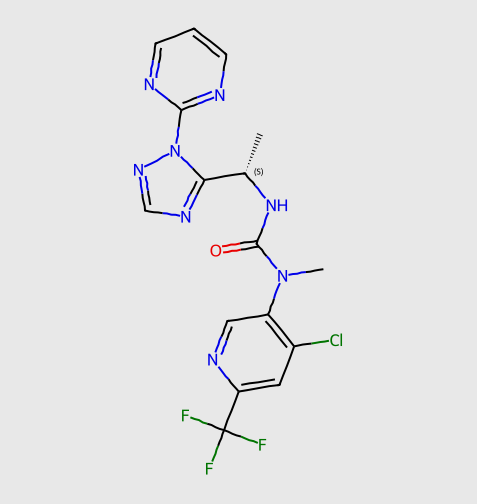 C[C@H](NC(=O)N(C)c1cnc(C(F)(F)F)cc1Cl)c1ncnn1-c1ncccn1